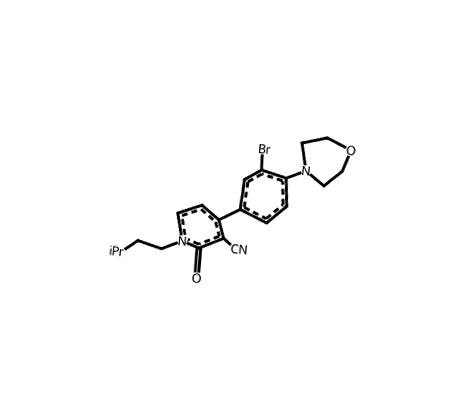 CC(C)CCn1ccc(-c2ccc(N3CCOCC3)c(Br)c2)c(C#N)c1=O